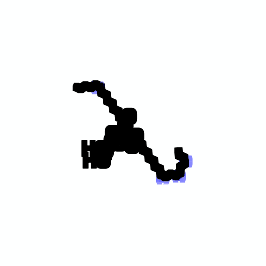 CC/C=C\C/C=C\C/C=C\CCCCCCCC(=O)O[C@H](COC(=O)CCCCCCC/C=C\CCCC)COP(=O)(O)OC[C@@H](O)CO